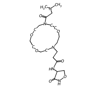 CN(C)CC(=O)N1CCOCCOCCN(CCC(=O)NC2CONC2=O)CCOCC1